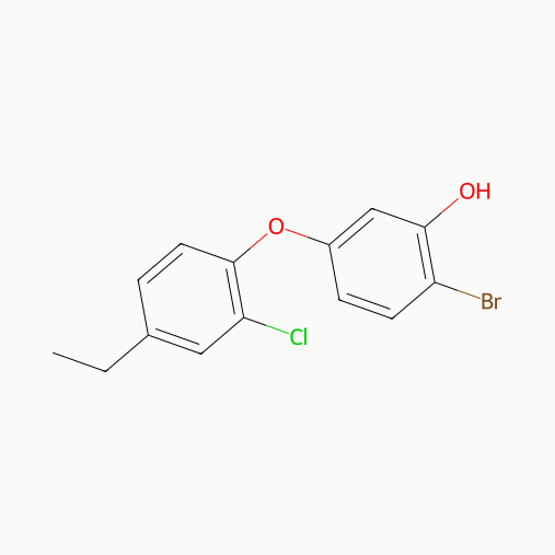 CCc1ccc(Oc2ccc(Br)c(O)c2)c(Cl)c1